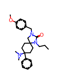 CCCN1C(=O)N(Cc2ccc(OC)cc2)CC12CCC(c1ccccc1)(N(C)C)CC2